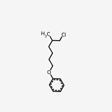 CC(CCl)CCCCOc1ccccc1